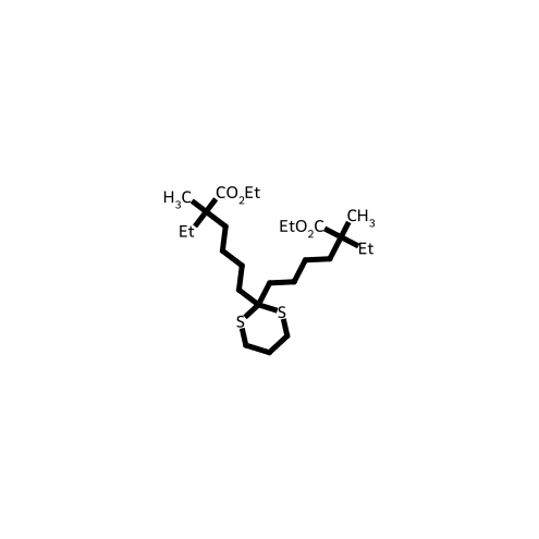 CCOC(=O)C(C)(CC)CCCCC1(CCCCC(C)(CC)C(=O)OCC)SCCCS1